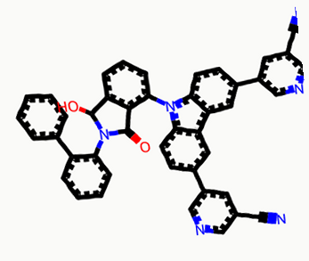 N#Cc1cncc(-c2ccc3c(c2)c2cc(-c4cncc(C#N)c4)ccc2n3-c2cccc3c2C(=O)N(c2ccccc2-c2ccccc2)C3O)c1